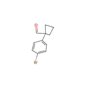 O=CC1(c2ccc(Br)cc2)CCC1